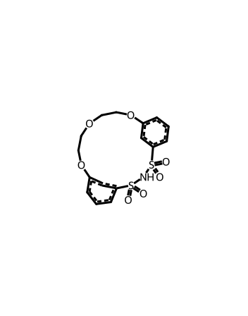 O=S1(=O)NS(=O)(=O)c2cccc(c2)OCCOCCOc2cccc1c2